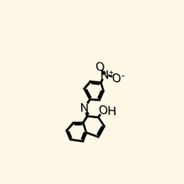 O=[N+]([O-])c1ccc(N=C2c3ccccc3C=CC2O)cc1